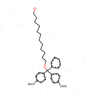 COc1ccc(C(OCCCCCCCCCCCC[O])(c2ccccc2)c2ccc(OC)cc2)cc1